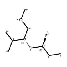 CC[C@H](F)C[C@@H](COC)C(C)C